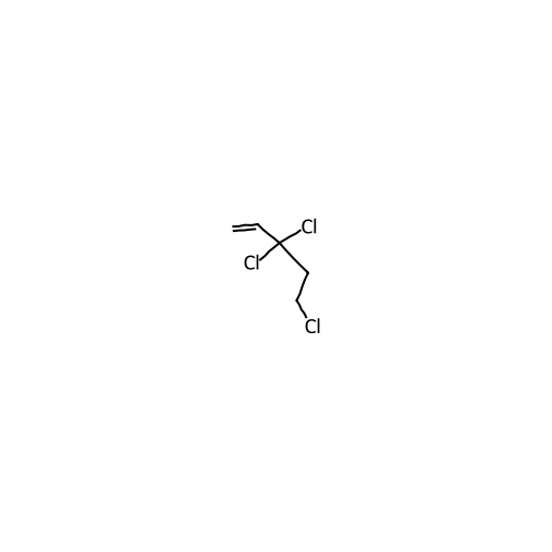 C=CC(Cl)(Cl)CCCl